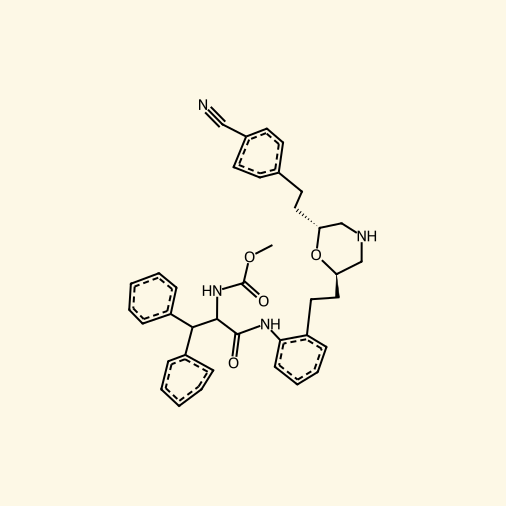 COC(=O)NC(C(=O)Nc1ccccc1CC[C@@H]1CNC[C@@H](CCc2ccc(C#N)cc2)O1)C(c1ccccc1)c1ccccc1